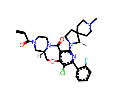 C=CC(=O)N1CCN2C(=O)c3c(N4CCC5(CCN(C)CC5)[C@@H]4C)nc(-c4ccccc4F)c(Cl)c3OC[C@H]2C1